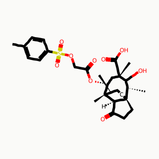 Cc1ccc(S(=O)(=O)OCC(=O)O[C@@H]2C[C@](C)(C(=O)O)C(O)[C@H](C)[C@]34CCC(=O)[C@H]3[C@@]2(C)[C@H](C)CC4)cc1